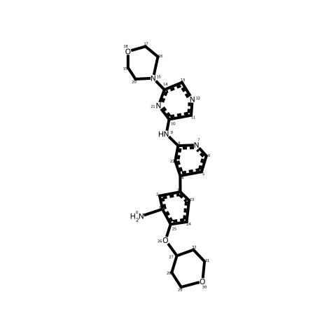 Nc1cc(-c2ccnc(Nc3cncc(N4CCOCC4)n3)c2)ccc1OC1CCOCC1